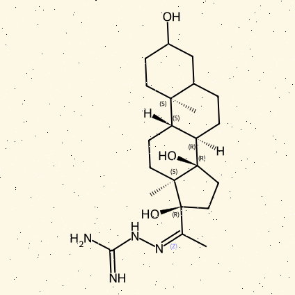 C/C(=N/NC(=N)N)[C@@]1(O)CC[C@@]2(O)[C@@H]3CCC4CC(O)CC[C@]4(C)[C@H]3CC[C@@]21C